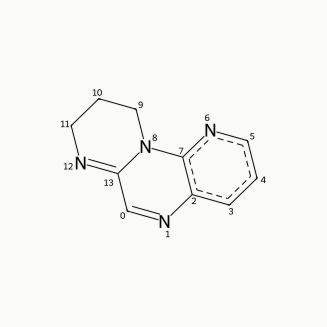 C1=Nc2cccnc2N2CCCN=C12